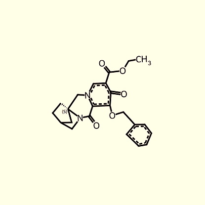 CCOC(=O)c1cn2c(c(OCc3ccccc3)c1=O)C(=O)N1CC3CC[C@]1(C3)C2